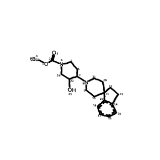 CC(C)(C)OC(=O)N1CCC(N2CCC3(CCc4ccccc43)CC2)C(O)C1